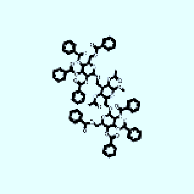 COC1OC(COC2OC(COC(=O)c3ccccc3)C(OC(=O)c3ccccc3)C(OC(=O)c3ccccc3)C2OC(=O)c2ccccc2)C(OC(C)=O)C(COC2OC(COC(=O)c3ccccc3)C(OC(=O)c3ccccc3)C(OC(=O)c3ccccc3)C2OC(=O)c2ccccc2)C1OC(C)=O